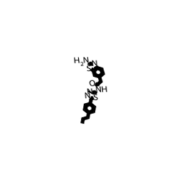 CCCc1ccc(-c2nnc(NC(=O)Cc3ccc4nc(N)sc4c3)s2)cc1